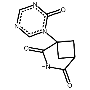 O=C1NC(=O)C2(n3cncnc3=O)CC1C2